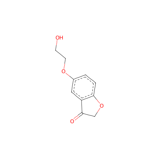 O=C1COc2ccc(OCCO)cc21